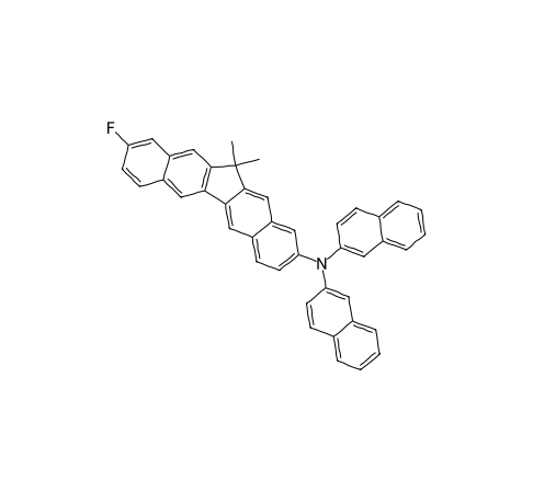 CC1(C)c2cc3cc(F)ccc3cc2-c2cc3ccc(N(c4ccc5ccccc5c4)c4ccc5ccccc5c4)cc3cc21